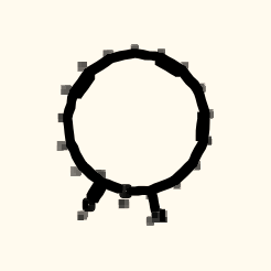 CCC1CC/C=C\C/C=C\CC/C=C\CCCC(=O)O1